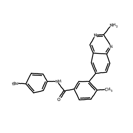 Cc1ccc(C(=O)Nc2ccc(C(C)(C)C)cc2)cc1-c1ccc2nc(N)ncc2c1